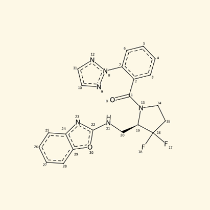 O=C(c1ccccc1-n1nccn1)N1CCC(F)(F)[C@H]1CNc1nc2ccccc2o1